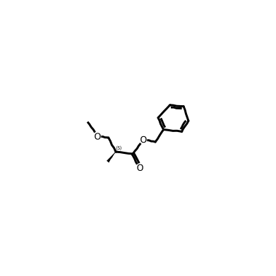 COC[C@H](C)C(=O)OCc1ccccc1